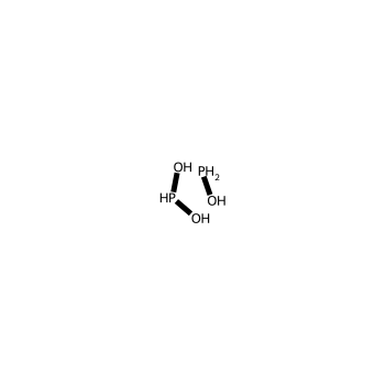 OP.OPO